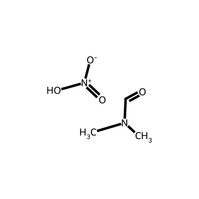 CN(C)C=O.O=[N+]([O-])O